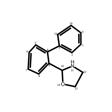 c1ccc(-c2ccccc2C2NCCO2)cc1